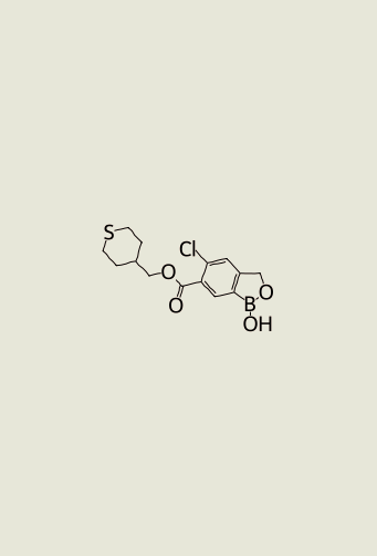 O=C(OCC1CCSCC1)c1cc2c(cc1Cl)COB2O